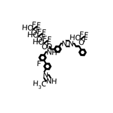 C[C@H]1CN(Cc2cccc(-c3cc(CNC(=O)c4cccc(CN5CCN(C/C=C/c6ccccc6)CC5)c4)ccc3F)c2)CCN1.O=C(O)C(F)(F)F.O=C(O)C(F)(F)F.O=C(O)C(F)(F)F.O=C(O)C(F)(F)F